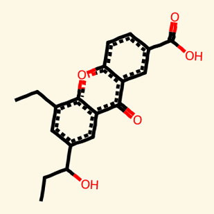 CCc1cc(C(O)CC)cc2c(=O)c3cc(C(=O)O)ccc3oc12